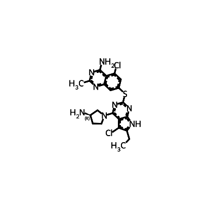 CCc1[nH]c2nc(Sc3cc(Cl)c4c(N)nc(C)nc4c3)nc(N3CC[C@@H](N)C3)c2c1Cl